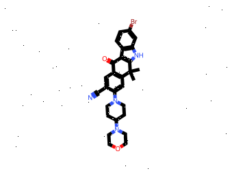 CC1(C)c2cc(N3CCC(N4CCOCC4)CC3)c(C#N)cc2C(=O)c2c1[nH]c1cc(Br)ccc21